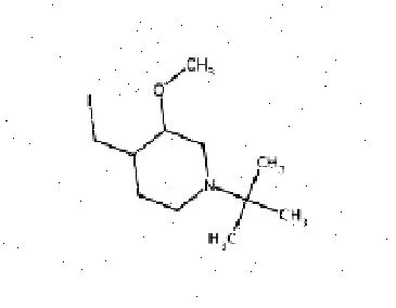 COC1CN(C(C)(C)C)CCC1CI